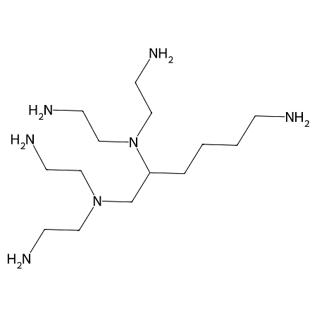 NCCCCC(CN(CCN)CCN)N(CCN)CCN